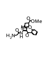 COC(=O)C1Cc2sc(NC(=O)CN)c(C(=O)c3ccccc3OC)c2C1